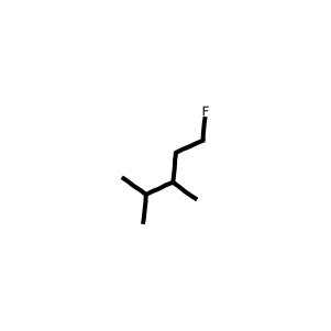 CC(C)C(C)CCF